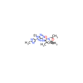 CCn1c(-c2cnc(C)nc2)nc2c(N[C@@H](C(=O)N3C[C@@H](C)O[C@@H](C)C3)[C@H](C)OC)ncnc21